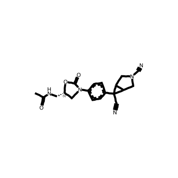 CC(=O)NC[C@H]1CN(c2ccc(C3(C#N)C4CN(C#N)CC43)cc2)C(=O)O1